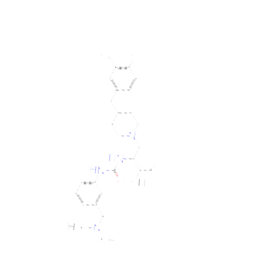 CC(C)C(CN1CCC(Cc2ccc(Cl)c(Cl)c2)CC1)NC(=O)Nc1cccc(CN(C)C)c1